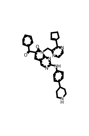 O=C(c1ccccc1)c1cc2cnc(Nc3ccc(C4CCNCC4)cc3)nc2n(Cc2nccnc2C2=CCCC2)c1=O